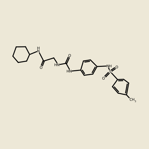 Cc1ccc(S(=O)(=O)Nc2ccc(NC(=O)NCC(=O)NC3CCCCC3)cc2)cc1